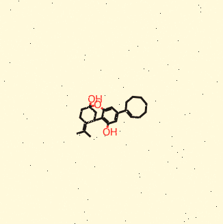 CC(C)=C1CCC2(O)CC1c1c(O)cc(C3=CCCCCCC3)cc1O2